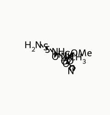 COCC(C)(C)[C@@H](OC(=O)c1cccnc1)C(=O)NCCC(=O)NCCSSCCN